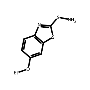 CCOc1ccc2nc(SN)sc2c1